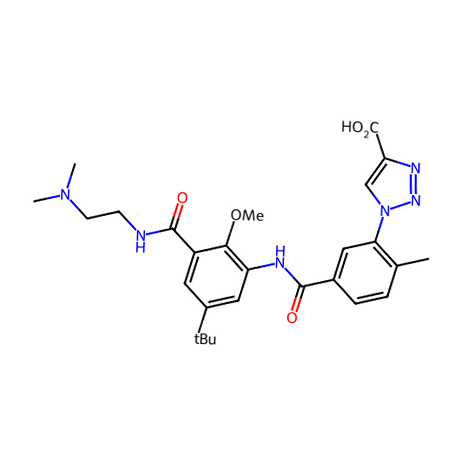 COc1c(NC(=O)c2ccc(C)c(-n3cc(C(=O)O)nn3)c2)cc(C(C)(C)C)cc1C(=O)NCCN(C)C